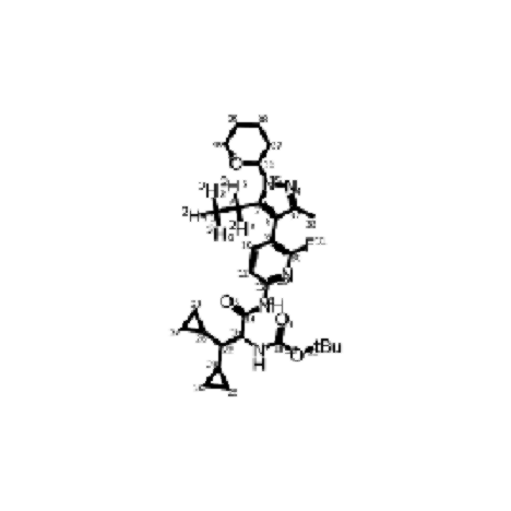 [2H]C([2H])([2H])C([2H])([2H])c1c(-c2ccc(NC(=O)[C@@H](NC(=O)OC(C)(C)C)C(C3CC3)C3CC3)nc2F)c(C)nn1C1CCCCO1